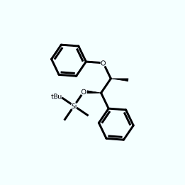 C[C@H](Oc1ccccc1)[C@H](O[Si](C)(C)C(C)(C)C)c1ccccc1